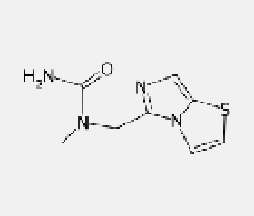 CN(Cc1ncc2sccn12)C(N)=O